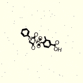 Cc1cc(C(=O)O)ccc1S(=O)(=O)N1C(=O)CN(c2ccccc2)C1=O